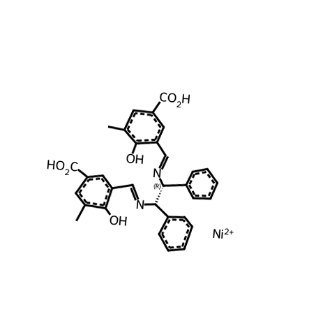 Cc1cc(C(=O)O)cc(C=NC(c2ccccc2)[C@H](N=Cc2cc(C(=O)O)cc(C)c2O)c2ccccc2)c1O.[Ni+2]